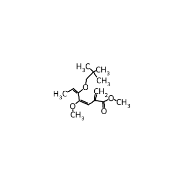 C=C(/C=C(OC)\C(=C/C)OCC(C)(C)C)C(=O)OC